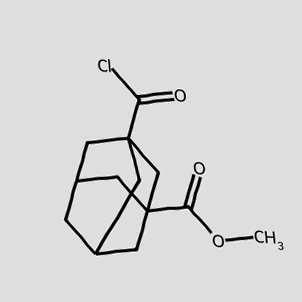 COC(=O)C12CC3CC(CC(C(=O)Cl)(C3)C1)C2